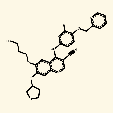 N#Cc1cnc2cc(OC3CCOC3)c(OCCCO)cc2c1Nc1ccc(OCc2ccccn2)c(Cl)c1